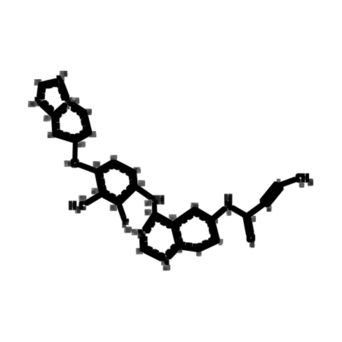 CC#CC(=O)Nc1ccc2ncnc(Nc3ccc(Oc4ccn5ncnc5c4)c(C)c3F)c2c1